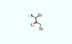 CCC(Br)C(=O)CBr